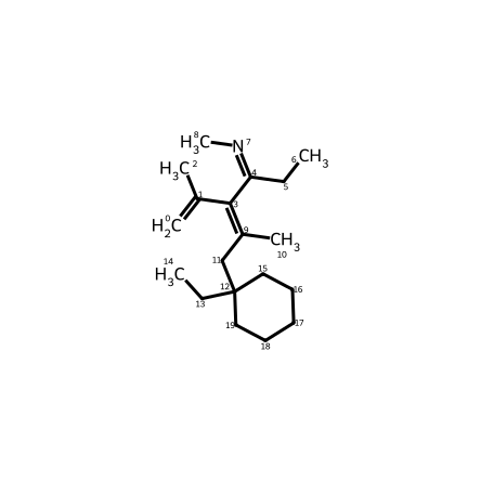 C=C(C)C(/C(CC)=N\C)=C(/C)CC1(CC)CCCCC1